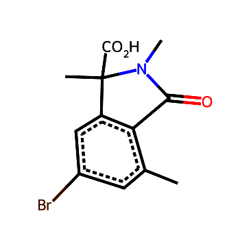 Cc1cc(Br)cc2c1C(=O)N(C)C2(C)C(=O)O